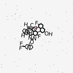 C#Cc1c(F)ccc2cc(O)cc(-c3c(F)c4nc(OC[C@@]56CCCN5CC(=C(F)F)C6)nc(N5C[C@H]6CC[C@@H](C5)N6)c4c4cc(C)oc34)c12